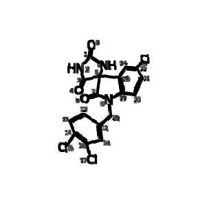 O=C1NC(=O)C2(N1)C(=O)N(Cc1ccc(Cl)c(Cl)c1)c1ccc(Cl)cc12